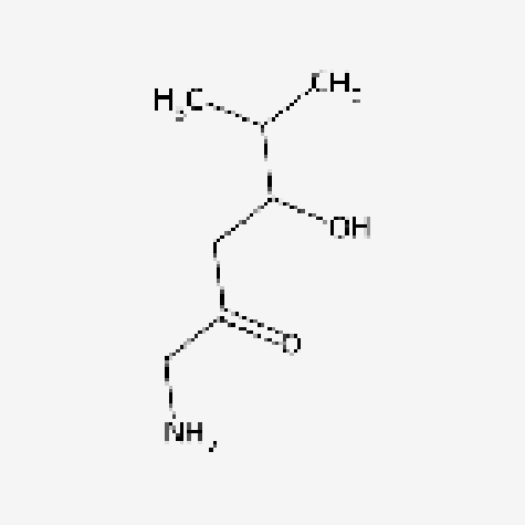 CC(C)C(O)CC(=O)CN